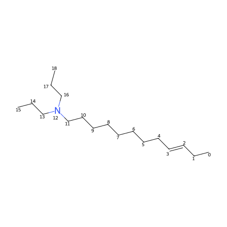 CCC=CCCCCCCCCN(CCC)CCC